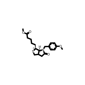 COC(=O)CCCC[C@@H]1SCC2CC(=O)N(Cc3ccc(OC)cc3)[C@@H]21